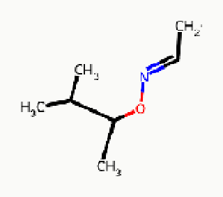 [CH2]C=NOC(C)C(C)C